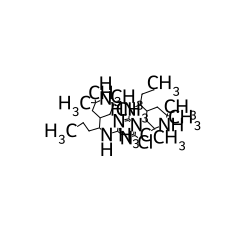 CCCC(Nc1nc(Cl)nc(NC(CCC)C2CC(C)(C)NC(C)(C)C2)n1)C1CC(C)(C)NC(C)(C)C1